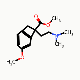 COC(=O)C1(CCN(C)C)Cc2ccc(OC)cc21